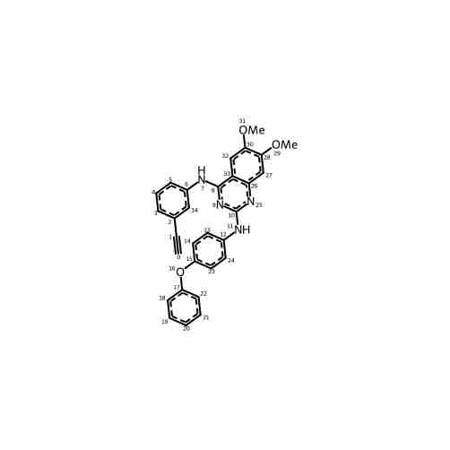 C#Cc1cccc(Nc2nc(Nc3ccc(Oc4ccccc4)cc3)nc3cc(OC)c(OC)cc23)c1